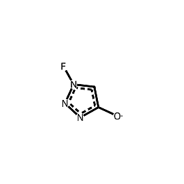 [O]c1cn(F)nn1